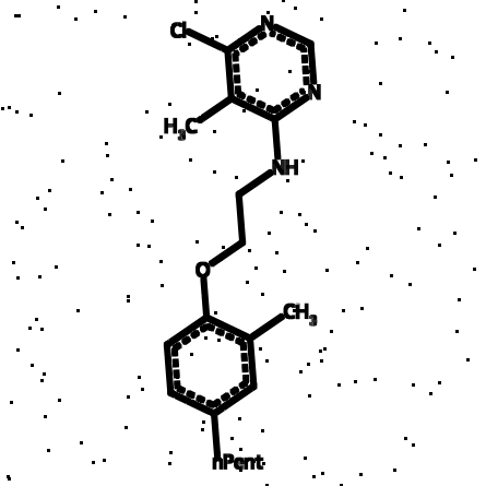 CCCCCc1ccc(OCCNc2ncnc(Cl)c2C)c(C)c1